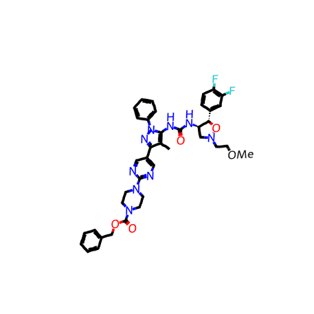 COCCN1C[C@@H](NC(=O)Nc2c(C)c(-c3cnc(N4CCN(C(=O)OCc5ccccc5)CC4)nc3)nn2-c2ccccc2)[C@H](c2ccc(F)c(F)c2)O1